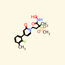 Cc1cccc(-c2ccn(CCC(C)(C(=O)NO)S(C)(=O)=O)c(=O)c2)c1F